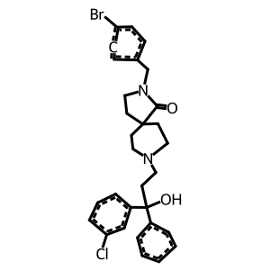 O=C1N(Cc2ccc(Br)cc2)CCC12CCN(CCC(O)(c1ccccc1)c1cccc(Cl)c1)CC2